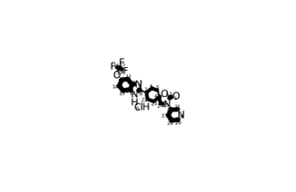 Cl.O=C1O[C@]2(CC[C@H](c3nc4cc(OC(F)(F)F)ccc4[nH]3)CC2)CN1c1cccnc1